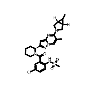 Cc1cn2nc([C@@H]3CCCCN3C(=O)c3cc(Cl)ccc3NS(C)(=O)=O)cc2nc1N1C[C@@H]2C(C)[C@@H]2C1